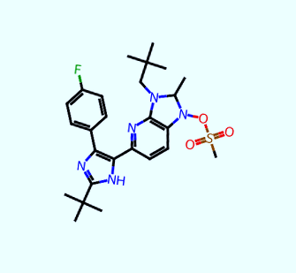 CC1N(CC(C)(C)C)c2nc(-c3[nH]c(C(C)(C)C)nc3-c3ccc(F)cc3)ccc2N1OS(C)(=O)=O